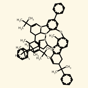 Cc1c2ccc3c4c(n(c13)C1CC(C(C)(C)c3ccccc3)=CN1P1c3c(cc(-c5ccccc5)cc3N3C=C(C(C)(C)C)CC(C5=CC(C(C)(C)C)=CC(C(C)(C)C)C5C)C31)O2)C=CC(C(C)(C)c1ccccc1)C4